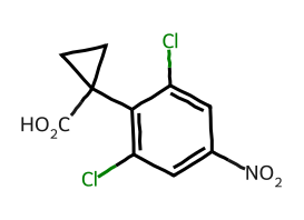 O=C(O)C1(c2c(Cl)cc([N+](=O)[O-])cc2Cl)CC1